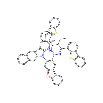 CCC1C(c2cccc3c2sc2ccccc23)=NC(c2cc3c(cc2-n2c4cc5ccccc5cc4c4cc5ccccc5cc42)oc2ccccc23)=NC1C1CC=Cc2c1sc1ccccc21